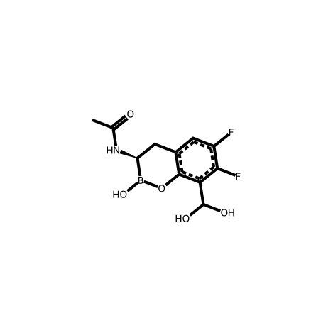 CC(=O)N[C@H]1Cc2cc(F)c(F)c(C(O)O)c2OB1O